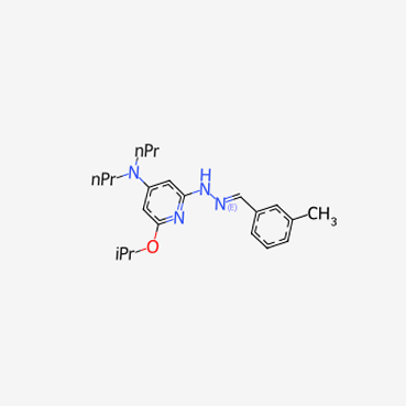 CCCN(CCC)c1cc(N/N=C/c2cccc(C)c2)nc(OC(C)C)c1